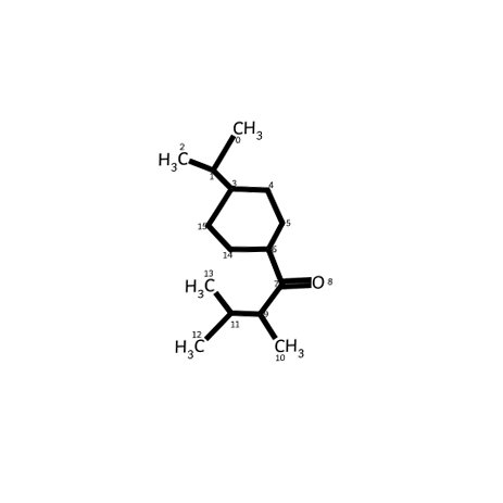 CC(C)C1CCC(C(=O)C(C)C(C)C)CC1